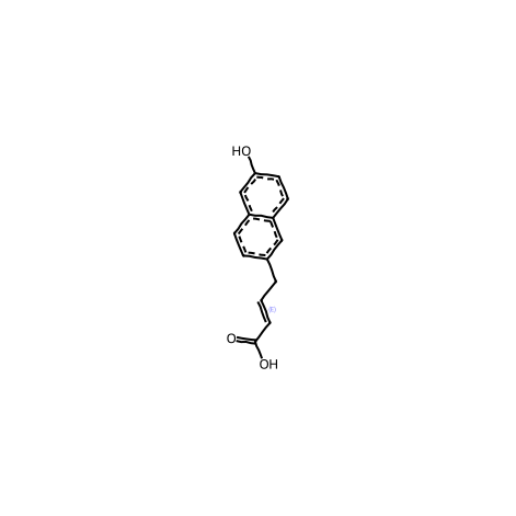 O=C(O)/C=C/Cc1ccc2cc(O)ccc2c1